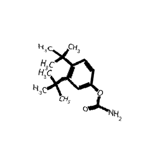 CC(C)(C)c1ccc(OC(N)=O)cc1C(C)(C)C